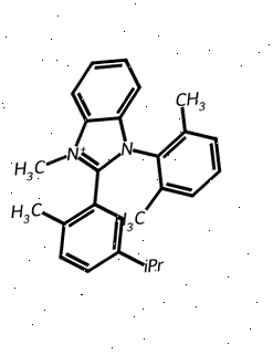 Cc1ccc(C(C)C)cc1-c1n(-c2c(C)cccc2C)c2ccccc2[n+]1C